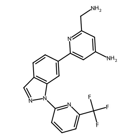 NCc1cc(N)cc(-c2ccc3cnn(-c4cccc(C(F)(F)F)n4)c3c2)n1